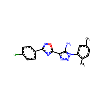 Cc1ccc(C)c(-n2nnc(-c3nc(-c4ccc(Cl)cc4)no3)c2N)c1